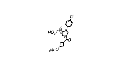 COC1CC(C(=O)N2C[C@@H](N(C)C(=O)O)[C@H](c3ccc(Cl)cc3)C2)C1